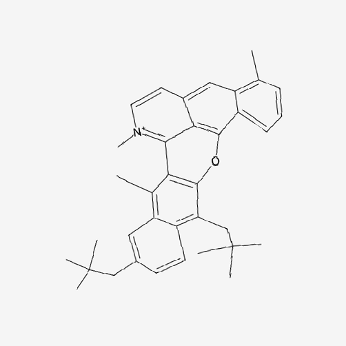 Cc1cccc2c3c4c([n+](C)ccc4cc12)-c1c(c(CC(C)(C)C)c2ccc(CC(C)(C)C)cc2c1C)O3